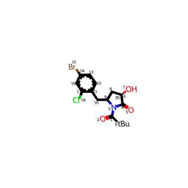 CC(C)(C)C(=O)N1C(=O)[C@H](O)CC1Cc1ccc(Br)cc1Cl